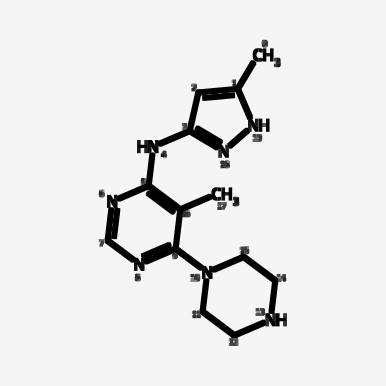 Cc1cc(Nc2ncnc(N3CCNCC3)c2C)n[nH]1